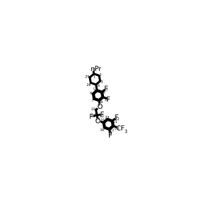 CCCC1CCC(c2ccc(OCC(F)(F)Oc3cc(F)c(C(F)(F)F)c(F)c3)c(F)c2F)CC1